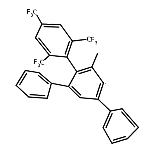 Cc1[c]c(-c2ccccc2)cc(-c2ccccc2)c1-c1c(C(F)(F)F)cc(C(F)(F)F)cc1C(F)(F)F